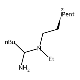 CCCCC(N)N(CC)CC[C@H](C)CCC